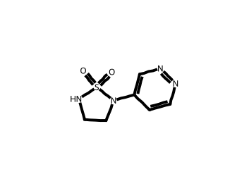 O=S1(=O)NCCN1c1ccnnc1